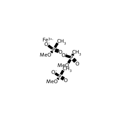 COP(C)(=O)[O-].COP(C)(=O)[O-].COP(C)(=O)[O-].[Fe+3]